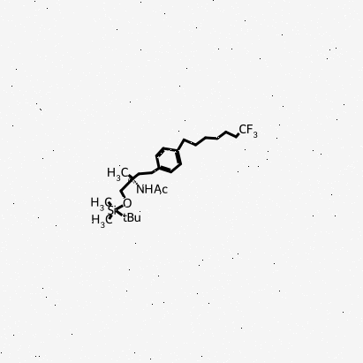 CC(=O)N[C@](C)(CCc1ccc(CCCCCCC(F)(F)F)cc1)CO[Si](C)(C)C(C)(C)C